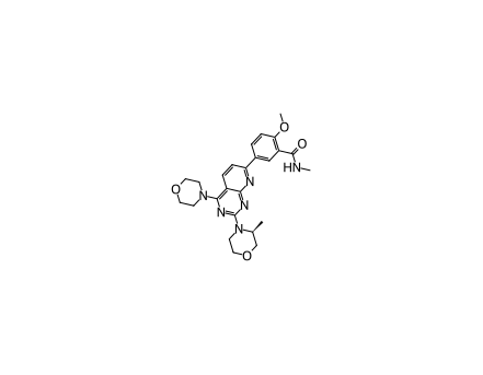 CNC(=O)c1cc(-c2ccc3c(N4CCOCC4)nc(N4CCOC[C@@H]4C)nc3n2)ccc1OC